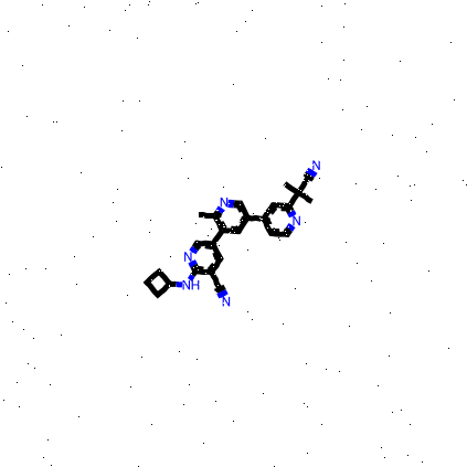 Cc1ncc(-c2ccnc(C(C)(C)C#N)c2)cc1-c1cnc(NC2CCC2)c(C#N)c1